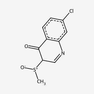 C[S+]([O-])C1C=Nc2cc(Cl)ccc2C1=O